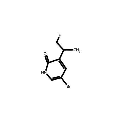 CC(CF)c1cc(Br)c[nH]c1=O